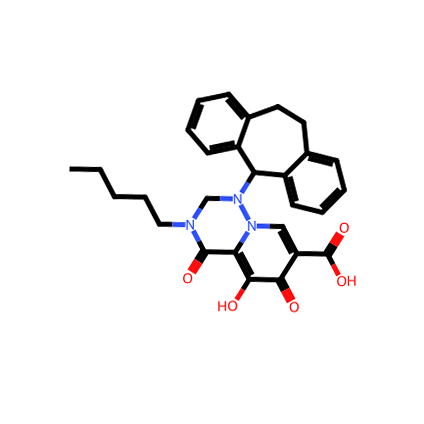 CCCCCN1CN(C2c3ccccc3CCc3ccccc32)n2cc(C(=O)O)c(=O)c(O)c2C1=O